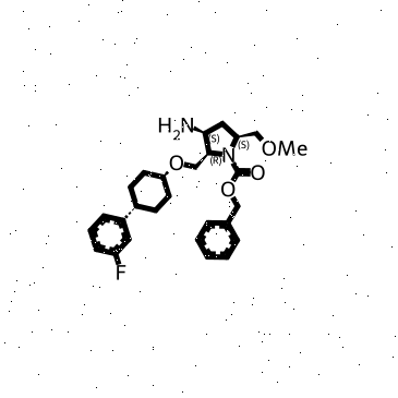 COC[C@@H]1C[C@H](N)[C@H](CO[C@H]2CC[C@@H](c3cccc(F)c3)CC2)N1C(=O)OCc1ccccc1